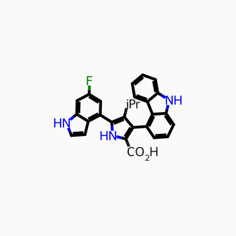 CC(C)c1c(-c2cc(F)cc3[nH]ccc23)[nH]c(C(=O)O)c1-c1cccc2[nH]c3ccccc3c12